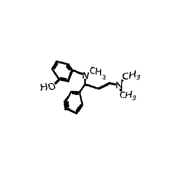 CN(C)CCC(c1ccccc1)N(C)c1cccc(O)c1